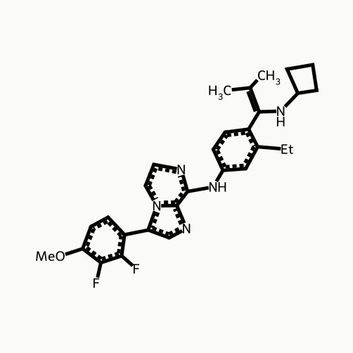 CCc1cc(Nc2nccn3c(-c4ccc(OC)c(F)c4F)cnc23)ccc1C(NC1CCC1)=C(C)C